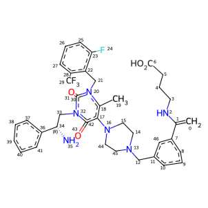 C=C(NCCCC(=O)O)c1cccc(CN2CCN(c3c(C)n(Cc4c(F)cccc4C(F)(F)F)c(=O)n(C[C@H](N)c4ccccc4)c3=O)CC2)c1